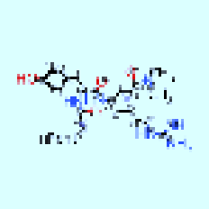 CCCCC/C=C/C(=O)N[C@@H](Cc1ccc(O)cc1)C(=O)N[C@H](/C=C/C(=O)N(C)C)CCCCNC(=N)N